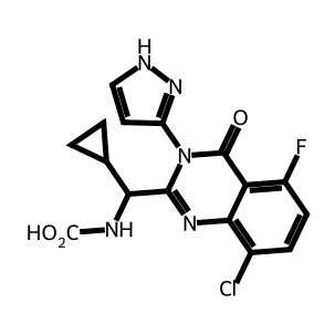 O=C(O)NC(c1nc2c(Cl)ccc(F)c2c(=O)n1-c1cc[nH]n1)C1CC1